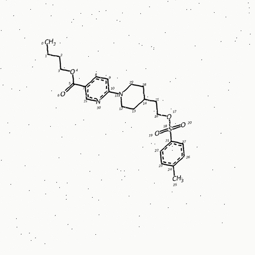 CCCCOC(=O)c1ccc(N2CCC(CCOS(=O)(=O)c3ccc(C)cc3)CC2)nc1